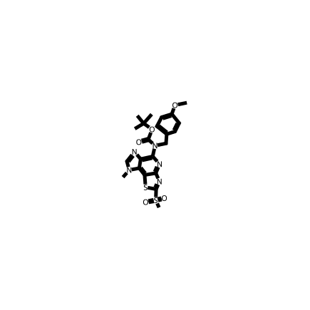 COc1ccc(CN(C(=O)OC(C)(C)C)c2nc3nc(S(C)(=O)=O)sc3c3c2ncn3C)cc1